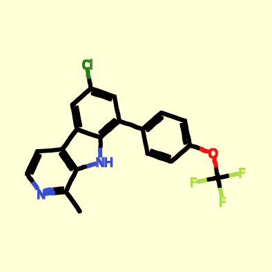 Cc1nccc2c1[nH]c1c(-c3ccc(OC(F)(F)F)cc3)cc(Cl)cc12